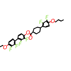 CCCCOc1ccc(C2CCC(C(=O)Oc3ccc(-c4ccc(OCC)c(F)c4F)c(F)c3F)CC2)c(F)c1F